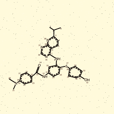 CC(C)c1ccc2c(Nc3cc(NC(=O)c4ccc(N(C)C)cc4)ccc3Sc3ccc(O)cc3)ncnc2n1